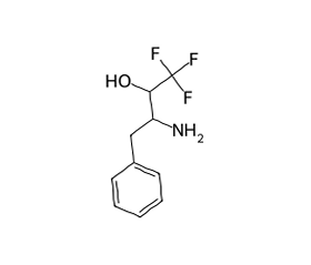 NC(Cc1ccccc1)C(O)C(F)(F)F